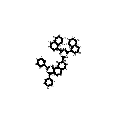 c1ccc(-c2nc(-c3ccccc3)c3ccc4ccc(-c5nc(-c6cccc7ccccc67)nc(-c6cccc7ccccc67)n5)cc4c3n2)cc1